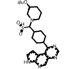 CC(C)COC1CCCN(C(C2CCC(c3ncnc4cnc5[nH]ccc5c34)CC2)[SH](=O)=O)C1